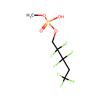 COP(=O)(O)OCC(F)(F)C(F)(F)CC(F)(F)F